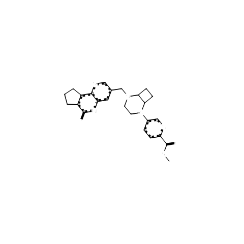 CNC(=O)c1ccc(N2CCN(Cc3cnc4c5c(c(=O)[nH]c4c3)CCC5)C3CCC32)cn1